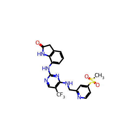 CS(=O)(=O)c1ccnc(CNc2nc(Nc3cccc4c3NC(=O)C4)ncc2C(F)(F)F)c1